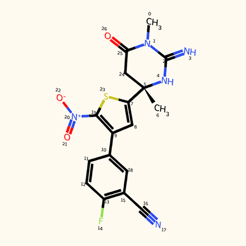 CN1C(=N)N[C@](C)(c2cc(-c3ccc(F)c(C#N)c3)c([N+](=O)[O-])s2)CC1=O